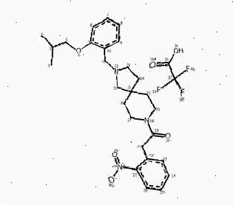 CC(C)COc1ccccc1CN1CCC2(CCN(C(=O)Cc3ccccc3[N+](=O)[O-])CC2)C1.O=C(O)C(F)(F)F